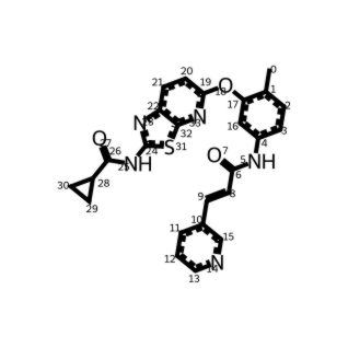 Cc1ccc(NC(=O)C=Cc2cccnc2)cc1Oc1ccc2nc(NC(=O)C3CC3)sc2n1